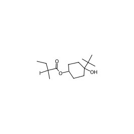 CCC(C)(I)C(=O)OC1CCC(O)(C(C)(C)C)CC1